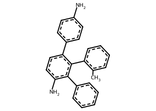 Cc1ccccc1-c1c(-c2ccc(N)cc2)ccc(N)c1-c1ccccc1